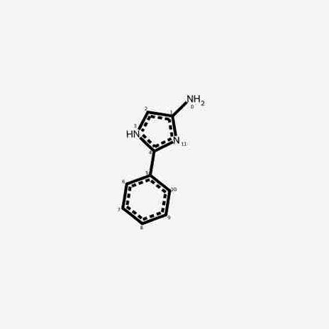 Nc1c[nH]c(-c2ccccc2)n1